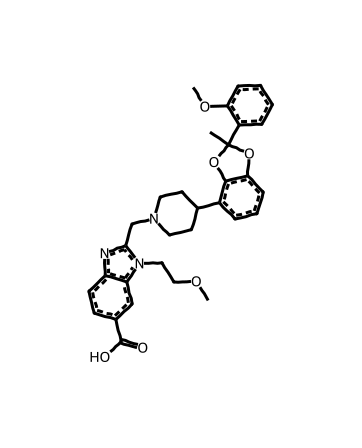 COCCn1c(CN2CCC(c3cccc4c3OC(C)(c3ccccc3OC)O4)CC2)nc2ccc(C(=O)O)cc21